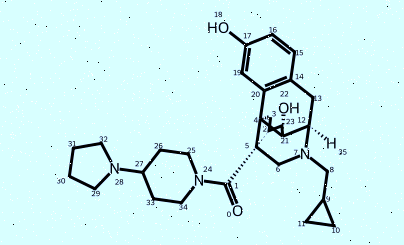 O=C([C@@H]1C[C@]23CCN(CC4CC4)[C@H](Cc4ccc(O)cc42)[C@]3(O)C1)N1CCC(N2CCCC2)CC1